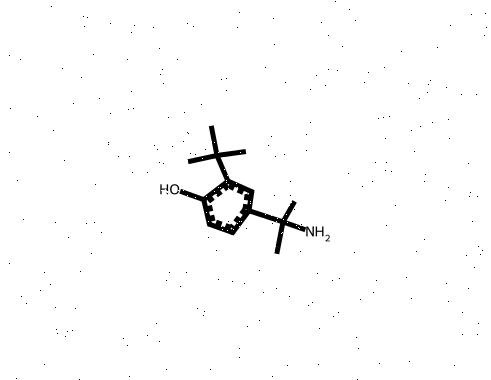 CC(C)(C)c1cc(C(C)(C)N)ccc1O